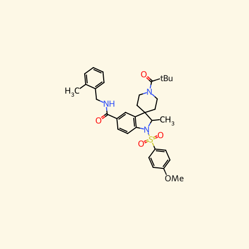 COc1ccc(S(=O)(=O)N2c3ccc(C(=O)NCc4ccccc4C)cc3C3(CCN(C(=O)C(C)(C)C)CC3)C2C)cc1